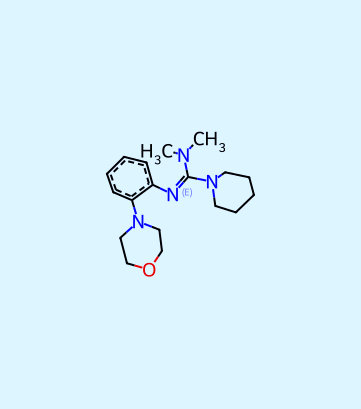 CN(C)/C(=N\c1ccccc1N1CCOCC1)N1CCCCC1